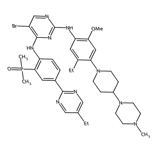 CCc1cnc(-c2ccc(Nc3nc(Nc4cc(CC)c(N5CCC(N6CCN(C)CC6)CC5)cc4OC)ncc3Br)c(P(C)(C)=O)c2)nc1